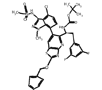 Cn1nc(NS(C)(=O)=O)c2c(Cl)ccc(-c3cc4sc(OCc5ccccc5)nc4nc3[C@H](Cc3cc(F)cc(F)c3)NC(=O)OC(C)(C)C)c21